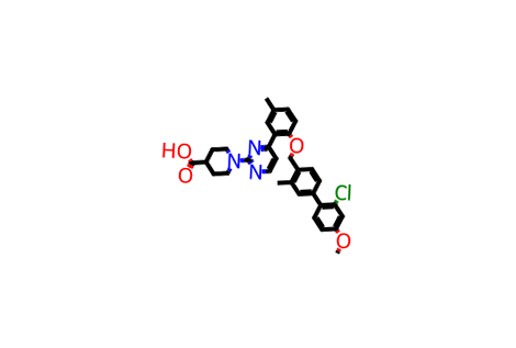 COc1ccc(-c2ccc(COc3ccc(C)cc3-c3ccnc(N4CCC(C(=O)O)CC4)n3)c(C)c2)c(Cl)c1